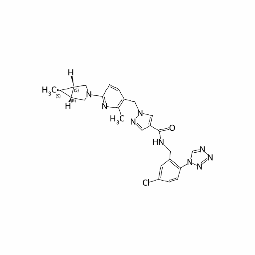 Cc1nc(N2C[C@@H]3[C@@H](C)[C@@H]3C2)ccc1Cn1cc(C(=O)NCc2cc(Cl)ccc2-n2cnnn2)cn1